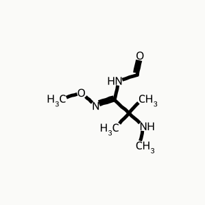 CNC(C)(C)/C(=N/OC)NC=O